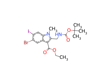 CCOC(=O)c1c(CNC(=O)OC(C)(C)C)n(C)c2cc(I)c(Br)cc12